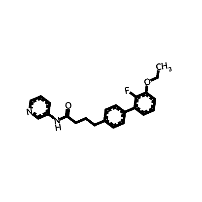 CCOc1cccc(-c2ccc(CCCC(=O)Nc3cccnc3)cc2)c1F